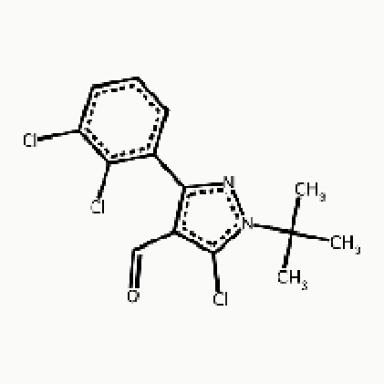 CC(C)(C)n1nc(-c2cccc(Cl)c2Cl)c(C=O)c1Cl